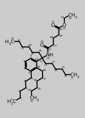 CCCCCCc1cccc(C(CCCCCC)(CCCCCC)NC(=O)CCCC(=O)OCC)c1CCCCCC